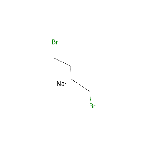 BrCCCCBr.[Na]